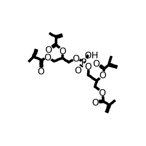 C=C(C)C(=O)OCC(COP(=O)(O)OCC(COC(=O)C(=C)C)OC(=O)C(=C)C)OC(=O)C(=C)C